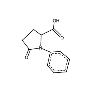 O=C(O)C1CCC(=O)N1c1ccccc1